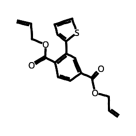 C=CCOC(=O)c1ccc(C(=O)OCC=C)c(-c2cccs2)c1